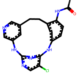 CNC(=O)Nc1ccc2cc1CCc1cncc(c1)Nc1ncc(Cl)c(n1)N2